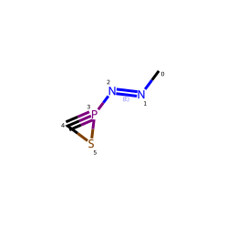 C/N=N/P1#CS1